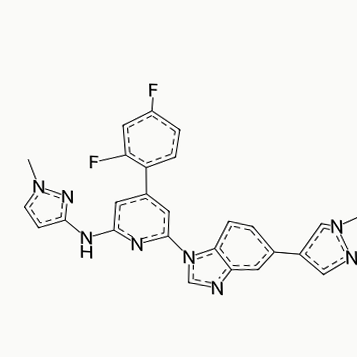 Cn1cc(-c2ccc3c(c2)ncn3-c2cc(-c3ccc(F)cc3F)cc(Nc3ccn(C)n3)n2)cn1